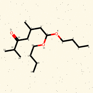 CCCCOC(CC(C)CC(=O)C(C)C)OCCCC